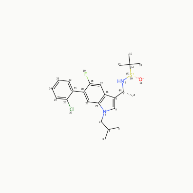 CC(C)Cn1cc([C@@H](C)N[S@@+]([O-])C(C)(C)C)c2cc(F)c(-c3ccccc3Cl)cc21